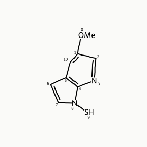 COc1cnc2c(ccn2S)c1